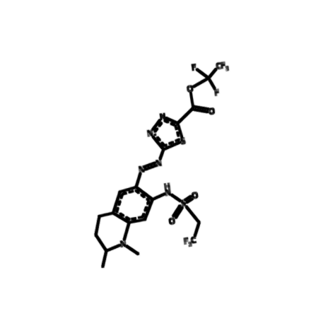 CC1CCc2cc(N=Nc3nnc(C(=O)OC(F)(F)C(F)(F)F)s3)c(NS(=O)(=O)CC(F)(F)F)cc2N1C